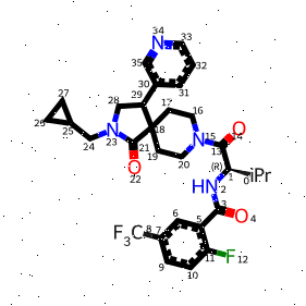 CC(C)[C@@H](NC(=O)c1cc(C(F)(F)F)ccc1F)C(=O)N1CCC2(CC1)C(=O)N(CC1CC1)CC2c1cccnc1